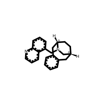 c1ccc2c(c1)C[C@H]1CC[C@@H](C2)N(Cc2cccc3ncccc23)C1